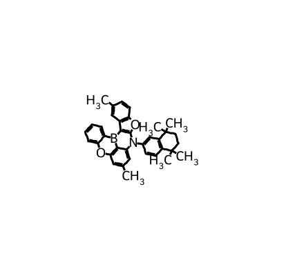 Cc1cc2c3c(c1)N(c1ccc4c(c1)C(C)(C)CCC4(C)C)c1oc4ccc(C)cc4c1B3c1ccccc1O2